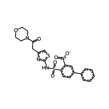 O=C(Cc1csc(NS(=O)(=O)c2ccc(-c3ccccc3)cc2[N+](=O)[O-])n1)N1CCOCC1